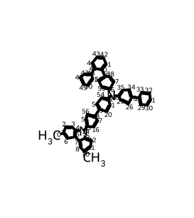 Cc1ccc2c(c1)c1cc(C)ccc1n2-c1ccc(-c2ccc(N(c3ccc(-c4ccccc4)cc3)c3ccc(-c4ccccc4-c4ccccc4)cc3)cc2)cc1